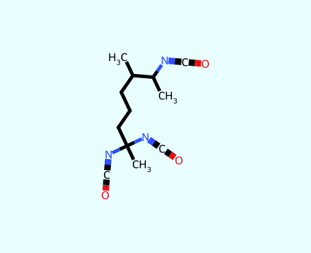 CC(CCCC(C)(N=C=O)N=C=O)C(C)N=C=O